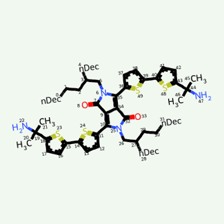 CCCCCCCCCCCCC(CCCCCCCCCC)CN1C(=O)C2=C(c3ccc(-c4ccc(C(C)(C)N)s4)s3)N(CC(CCCCCCCCCC)CCCCCCCCCCCC)C(=O)C2=C1c1ccc(-c2ccc(C(C)(C)N)s2)s1